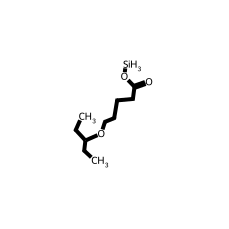 CCC(CC)OCCCCC(=O)O[SiH3]